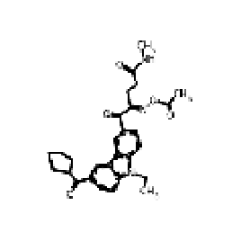 CCn1c2ccc(C(=O)C(CCC(=O)NC)=NOC(C)=O)cc2c2cc(C(=O)C3CCCC3)ccc21